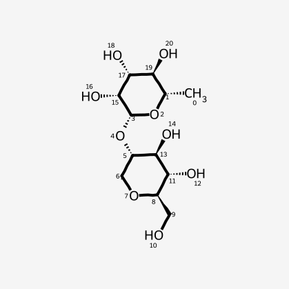 C[C@@H]1O[C@H](O[C@H]2[CH]O[C@H](CO)[C@@H](O)[C@@H]2O)[C@H](O)[C@H](O)[C@H]1O